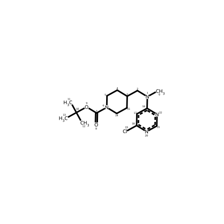 CN(CC1CCN(C(=O)OC(C)(C)C)CC1)c1cc(Cl)ncn1